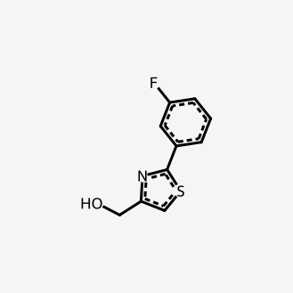 OCc1csc(-c2cccc(F)c2)n1